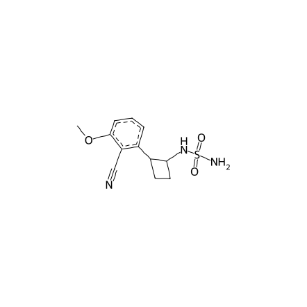 COc1cccc(C2CCC2NS(N)(=O)=O)c1C#N